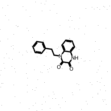 O=c1[nH]c2ccccc2n(CCc2ccccc2)c1=O